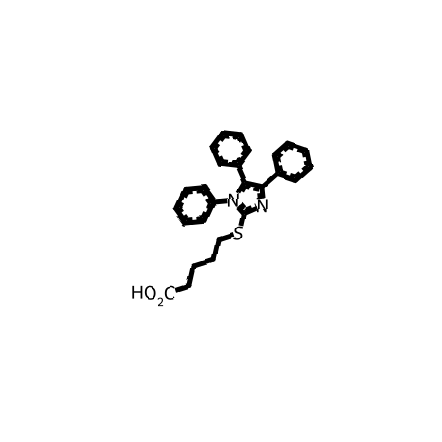 O=C(O)CCCCSc1nc(-c2ccccc2)c(-c2ccccc2)n1-c1ccccc1